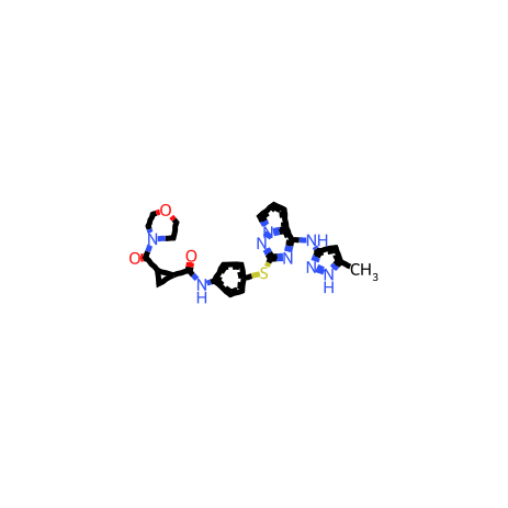 Cc1cc(Nc2nc(Sc3ccc(NC(=O)C4CC4C(=O)N4CCOCC4)cc3)nn3cccc23)n[nH]1